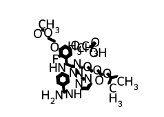 CC(=O)O.CCC(CC)OC(=O)OCOc1nc([C@H](Nc2ccc(C(=N)N)cc2)c2cc(OC)cc(OCCOC(C)=O)c2F)nn1-c1ncccn1